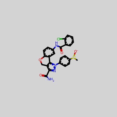 C[S+]([O-])c1ccc(-n2nc(C(N)=O)c3c2-c2cc(NC(=O)c4ccccc4Cl)ccc2OC3)cc1